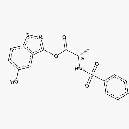 Cc1ccc(S(=O)(=O)N[C@@H](C)C(=O)Oc2nsc3ccc(O)cc23)cc1